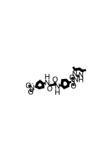 Cc1cc(C)nc(NS(=O)(=O)c2ccc(NC(=O)C(=O)Nc3ccc([N+](=O)[O-])cc3)cc2)n1